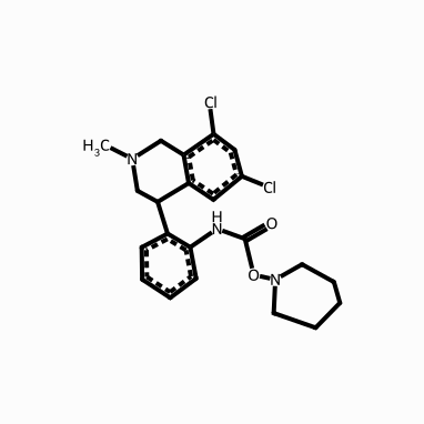 CN1Cc2c(Cl)cc(Cl)cc2C(c2ccccc2NC(=O)ON2CCCCC2)C1